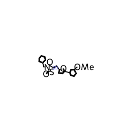 COc1cccc(-c2ccc(/C=C3\SC(=O)N(Cc4ccccc4)C3=O)o2)c1